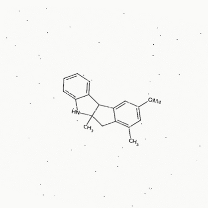 COc1cc(C)c2c(c1)C1c3ccccc3NC1(C)C2